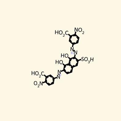 O=C(O)c1cc(/N=N/c2ccc3cc(S(=O)(=O)O)c(/N=N/c4ccc([N+](=O)[O-])c(C(=O)O)c4)c(O)c3c2O)ccc1[N+](=O)[O-]